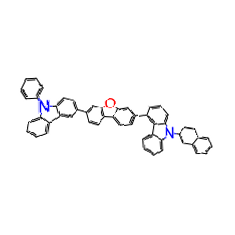 c1ccc(-n2c3ccccc3c3cc(-c4ccc5c(c4)oc4cc(-c6cccc7c6c6ccccc6n7-c6ccc7ccccc7c6)ccc45)ccc32)cc1